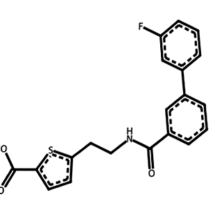 O=C(NCCc1ccc(C(=O)O)s1)c1cccc(-c2cccc(F)c2)c1